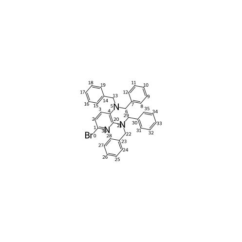 Brc1ccc(N(Cc2ccccc2)Cc2ccccc2)c(N(Cc2ccccc2)Cc2ccccc2)n1